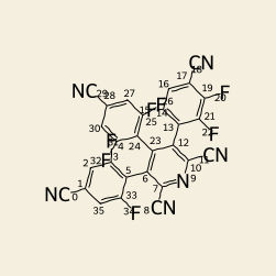 N#Cc1cc(F)c(-c2c(C#N)nc(C#N)c(-c3c(F)cc(C#N)c(F)c3F)c2-c2c(F)cc(C#N)cc2F)c(F)c1